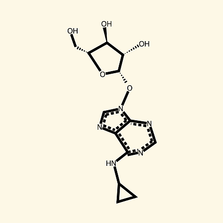 OC[C@H]1O[C@@H](On2cnc3c(NC4CC4)ncnc32)[C@@H](O)[C@@H]1O